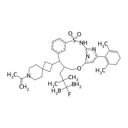 BC(B)(F)C(C)(C)CC1COc2cc(C3=C(C)CCC=C3C)nc(n2)NS(=O)(=O)c2cccc(c2)C1C1CC2(CCN(C(=C)C)CC2)C1